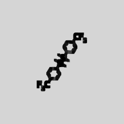 C[Si](C)(c1ccc(C(F)(F)F)cc1)[Si](C)(C)c1ccc(C(F)(F)F)cc1